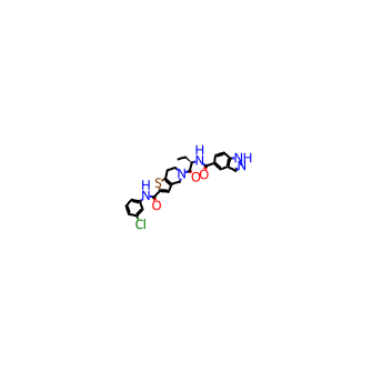 CC[C@@H](NC(=O)c1ccc2[nH]ncc2c1)C(=O)N1CCc2sc(C(=O)Nc3cccc(Cl)c3)cc2C1